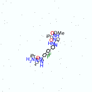 COC(=O)NC(C(=O)N1C2CCC3CC32C1c1nc2ccc(-c3ccc4c(c3)C(F)(F)c3cc(-c5c[nH]c(C6CC7(CC7)CN6C(=O)C(N)C(C)C)n5)ccc3-4)cc2[nH]1)C(C)C